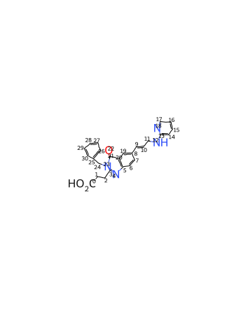 O=C(O)CCc1nc2ccc(C=CCNc3ccccn3)cc2c(=O)n1Cc1ccccc1